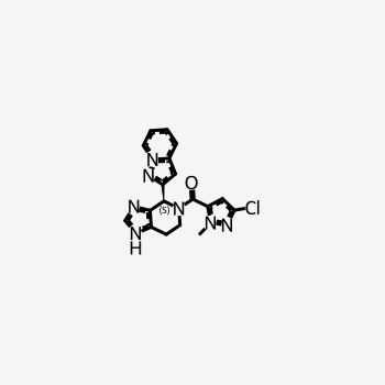 Cn1nc(Cl)cc1C(=O)N1CCc2[nH]cnc2[C@H]1c1cc2ccccn2n1